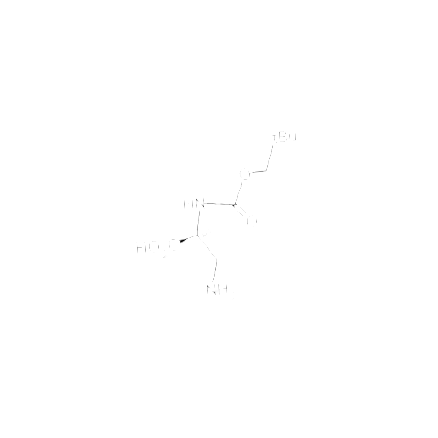 CC(C)(C)COC(=O)N[C@@H](CN)C(=O)O